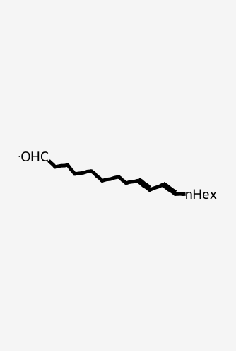 CCCCCCC=CC=CCCCCCCC[C]=O